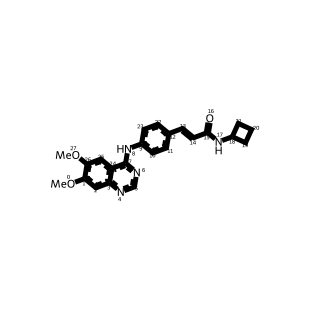 COc1cc2ncnc(Nc3ccc(C=CC(=O)NC4CCC4)cc3)c2cc1OC